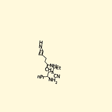 C=C(CCc1cc2[nH]c1-2)NC(CC)C(C#N)CC(N)CCC